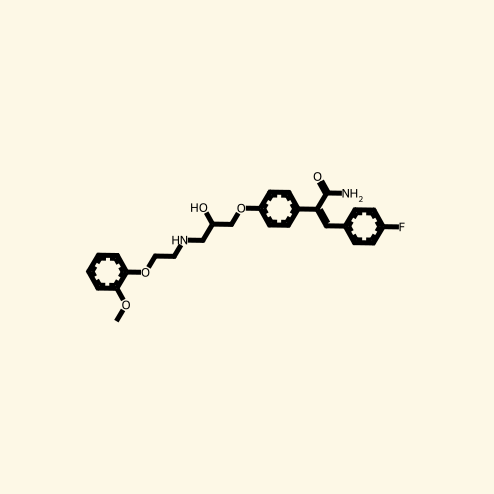 COc1ccccc1OCCNCC(O)COc1ccc(C(=Cc2ccc(F)cc2)C(N)=O)cc1